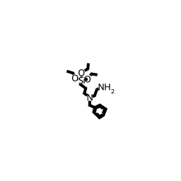 CCO[Si](CCCN(CCN)Cc1ccccc1)(OCC)OCC